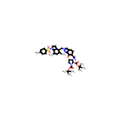 Cc1ccc(S(=O)(=O)n2ccc3c(Cn4cc5ccc(C#N)c(O[C@@H]6C[C@@H](C(=O)OC(C)(C)C)N(C(=O)OC(C)(C)C)C6)c5n4)c(C)cc(C)c32)cc1